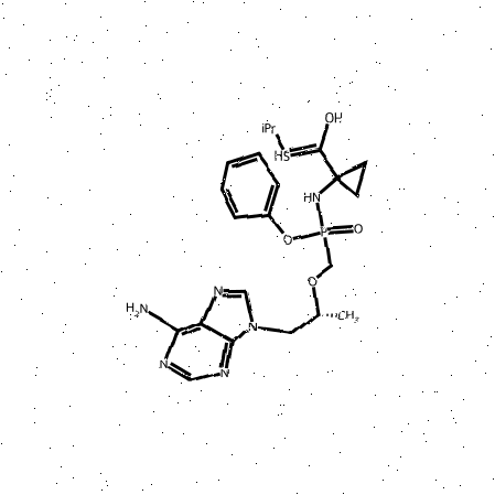 CC(C)[SH]=C(O)C1(NP(=O)(CO[C@H](C)Cn2cnc3c(N)ncnc32)Oc2ccccc2)CC1